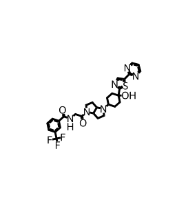 O=C(NCC(=O)N1CCC2C1CCN2C1CCC(O)(c2ncc(-c3ncccn3)s2)CC1)c1cccc(C(F)(F)F)c1